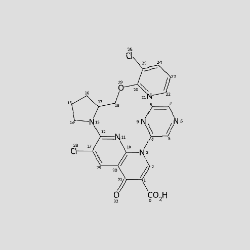 O=C(O)c1cn(-c2cnccn2)c2nc(N3CCCC3COc3ncccc3Cl)c(Cl)cc2c1=O